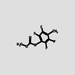 COC(=O)Oc1c(F)c(F)c(C)c(F)c1F